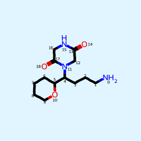 NCCCC(C1CCCCO1)N1CC(=O)NCC1=O